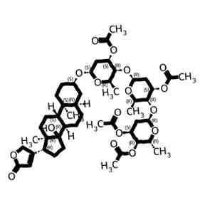 CC(=O)O[C@H]1[C@@H](OC(C)=O)C[C@@H](O[C@H]2[C@@H](OC(C)=O)C[C@@H](O[C@H]3[C@@H](OC(C)=O)C[C@@H](O[C@H]4CC[C@@]5(C)[C@H](CC[C@@H]6[C@@H]5CC[C@]5(C)[C@@H](C7=CC(=O)OC7)CCC65O)C4)O[C@@H]3C)O[C@@H]2C)O[C@@H]1C